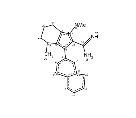 CNn1c2c(c(-c3cnc4ccccc4c3)c1C(=N)N)C(C)CCC2